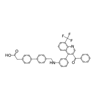 O=C(O)Cc1ccc(-c2ccc(CNc3cccc(-c4c(C(=O)c5ccccc5)cnc5c(C(F)(F)F)cccc45)c3)cc2)cc1